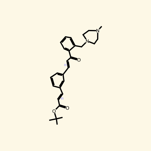 CN1CCN(Cc2ccccc2C(=O)/C=C/c2cccc(/C=C/C(=O)OC(C)(C)C)c2)CC1